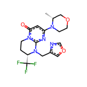 C[C@@H]1COCCN1c1cc(=O)n2c(n1)N(Cc1cocn1)[C@H](C(F)(F)F)CC2